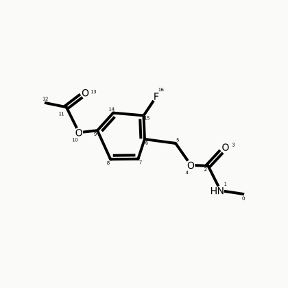 CNC(=O)OCc1ccc(OC(C)=O)cc1F